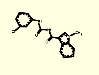 Cn1cc(C(=O)NC(=O)Nc2cccc(Cl)c2)c2c[c]ccc21